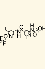 CCc1cc(CNC(=O)c2cc(C)nc(NC(=O)C(C)(C)O)c2)cnc1OCC(F)(F)F